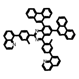 Cc1cc(-c2cccc3cccnc23)ccc1-c1nc(-c2ccc(-c3cccc4cccnc34)cc2C)c2cc(-c3cc4ccccc4c4ccccc34)cc(-c3cc4ccccc4c4ccccc34)c2n1